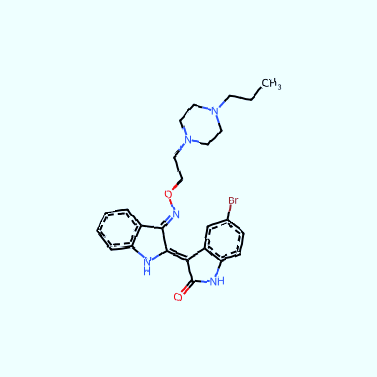 CCCN1CCN(CCO/N=C2/C(=C3/C(=O)Nc4ccc(Br)cc43)Nc3ccccc32)CC1